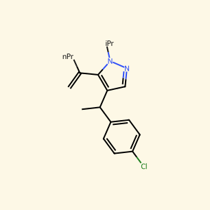 C=C(CCC)c1c(C(C)c2ccc(Cl)cc2)cnn1C(C)C